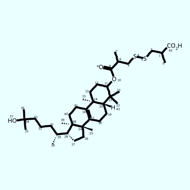 CC(CSSCC(C)C(=O)OC1CC[C@]2(C)C3=C(CC[C@H]2C1(C)C)[C@]1(C)CC[C@H]([C@H](C)CCCC(C)(C)O)[C@@]1(C)CC3)C(=O)O